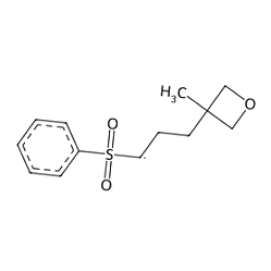 CC1(CC[CH]S(=O)(=O)c2ccccc2)COC1